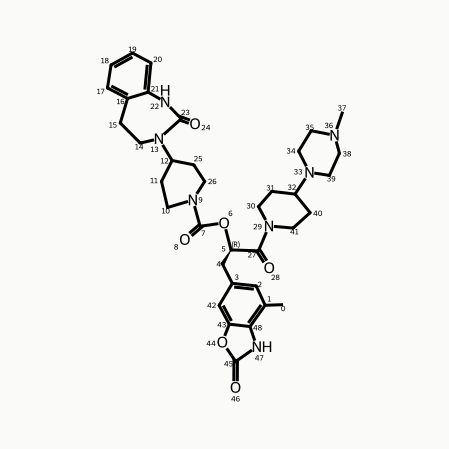 Cc1cc(C[C@@H](OC(=O)N2CCC(N3CCc4ccccc4NC3=O)CC2)C(=O)N2CCC(N3CCN(C)CC3)CC2)cc2oc(=O)[nH]c12